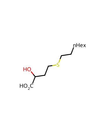 CCCCCCCCSCCC(O)C(=O)O